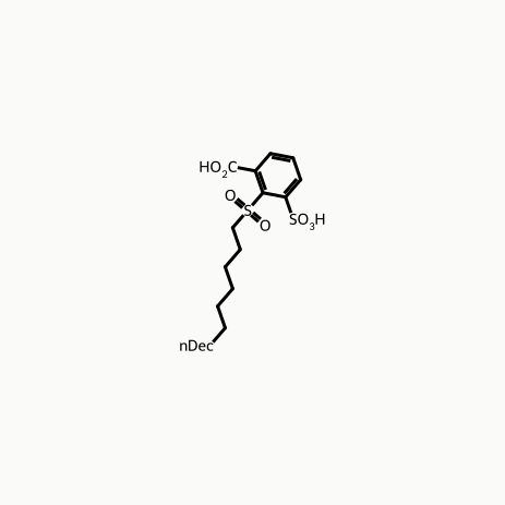 CCCCCCCCCCCCCCCCS(=O)(=O)c1c(C(=O)O)cccc1S(=O)(=O)O